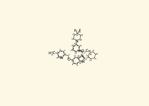 Cc1ccc(COc2ccc3nc([C@H]4CCCC[C@H]4C(=O)O)n(Cc4cccc(N5CCC(F)(F)CC5)c4)c3c2)nc1